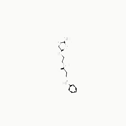 CN(CC(=O)NCCNC(=O)CCCPc1ccccc1)C(=N)N